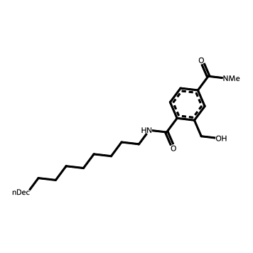 CCCCCCCCCCCCCCCCCCNC(=O)c1ccc(C(=O)NC)cc1CO